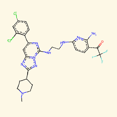 CN1CCC(c2nc3cc(-c4ccc(Cl)cc4Cl)nc(NCCNc4ccc(C(=O)C(F)(F)F)c(N)n4)n3n2)CC1